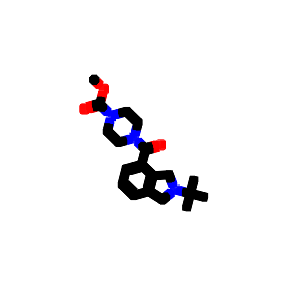 COC(=O)N1CCN(C(=O)c2cccc3c2CN(C(C)(C)C)C3)CC1